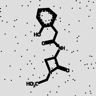 O=C(O)CN1CC(NC(=O)Cc2ccccc2O)C1=O